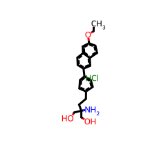 CCOc1ccc2cc(-c3ccc(CCC(N)(CO)CO)cc3)ccc2c1.Cl